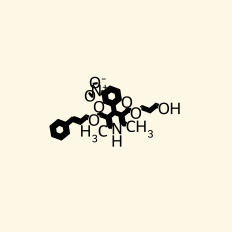 CC1=C(C(=O)OC/C=C/c2ccccc2)C(c2cccc([N+](=O)[O-])c2)C(C(=O)OCCCO)=C(C)N1